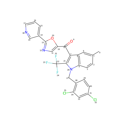 Cc1ccc2c(c1)c(C(=O)c1cnc(-c3cccnc3)o1)c(C(F)(F)F)n2Cc1ccc(Cl)cc1Cl